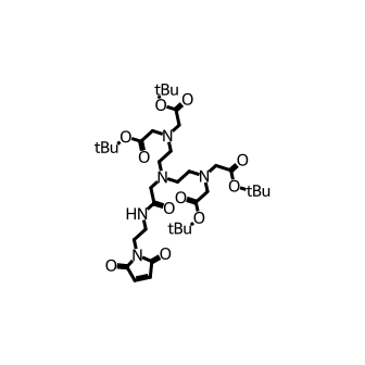 CC(C)(C)OC(=O)CN(CCN(CCN(CC(=O)OC(C)(C)C)CC(=O)OC(C)(C)C)CC(=O)NCCN1C(=O)C=CC1=O)CC(=O)OC(C)(C)C